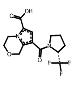 O=C(O)c1cc(C(=O)N2CCC[C@@H]2C(F)(F)F)c2n1CCOC2